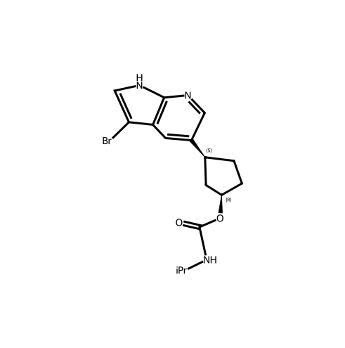 CC(C)NC(=O)O[C@@H]1CC[C@H](c2cnc3[nH]cc(Br)c3c2)C1